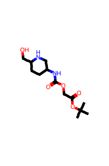 CC(C)(C)OC(=O)COC(=O)NC1CCC(CO)NC1